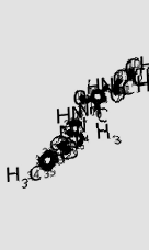 CCC1CC(NC(=O)OC(C)(C)C)CC1C(=O)NNc1cnc2c(ccn2S(=O)(=O)c2ccc(C)cc2)n1